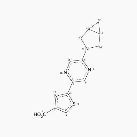 O=C(O)c1csc(-c2cnc(N3CC4CC4C3)cn2)n1